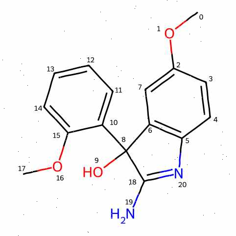 COc1ccc2c(c1)C(O)(c1ccccc1OC)C(N)=N2